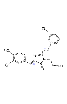 O=C1/C(=C/c2ccc(O)c(Cl)c2)N=C(/C=C/c2cccc(Cl)c2)N1CCO